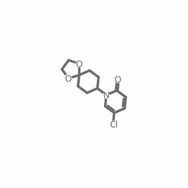 O=c1ccc(Cl)cn1C1CCC2(CC1)OCCO2